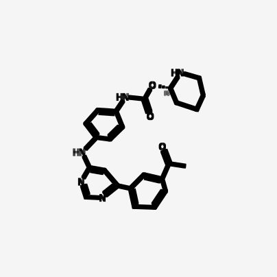 CC(=O)c1cccc(-c2cc(Nc3ccc(NC(=O)O[C@H]4CCCCN4)cc3)ncn2)c1